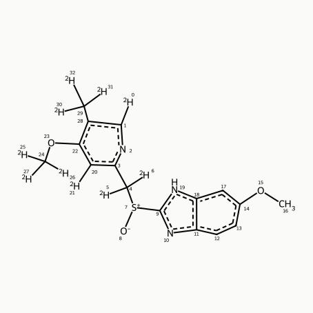 [2H]c1nc(C([2H])([2H])[S+]([O-])c2nc3ccc(OC)cc3[nH]2)c([2H])c(OC([2H])([2H])[2H])c1C([2H])([2H])[2H]